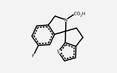 O=C(O)N1Cc2ccc(F)cc2C12CCc1ccsc12